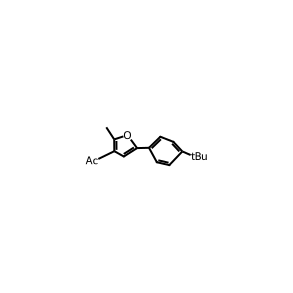 CC(=O)c1cc(-c2ccc(C(C)(C)C)cc2)oc1C